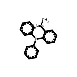 C[C@H](N)c1ccccc1P(c1ccccc1)c1ccccc1